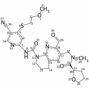 COCCSc1cc(NC(=O)N2CCCc3cc(CN(C)C(=O)[C@H]4CCCO4)c(C=O)nc32)ncc1C#N